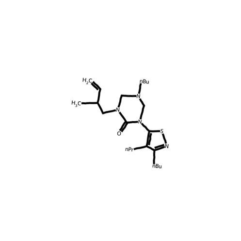 C=CC(C)CN1CN(CCCC)CN(c2snc(CCCC)c2CCC)C1=O